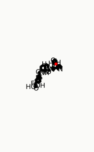 O=C(N[C@H]1CCC[C@H]2CC[C@@H](C(=O)N3CC(c4cnccc4N4C[C@@H]5C[C@H]4CO5)C3)N2C1=O)c1cc2cc(C(F)P(=O)(O)O)ccc2s1